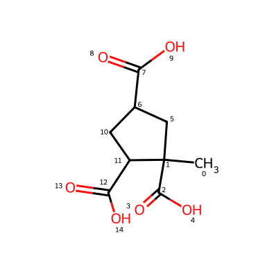 CC1(C(=O)O)CC(C(=O)O)CC1C(=O)O